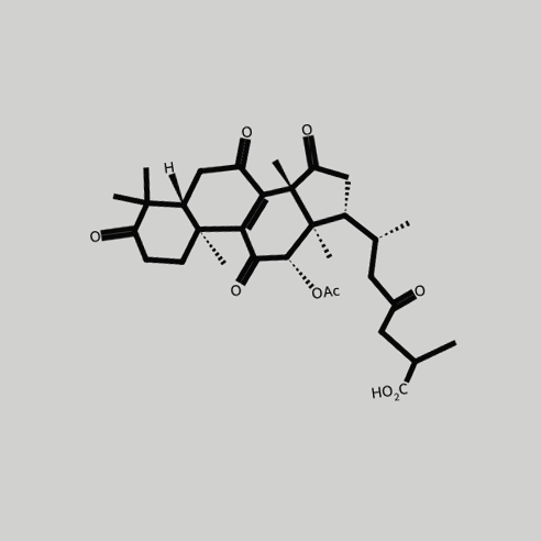 CC(=O)O[C@@H]1C(=O)C2=C(C(=O)C[C@H]3C(C)(C)C(=O)CC[C@]23C)[C@]2(C)C(=O)C[C@H]([C@H](C)CC(=O)CC(C)C(=O)O)[C@@]12C